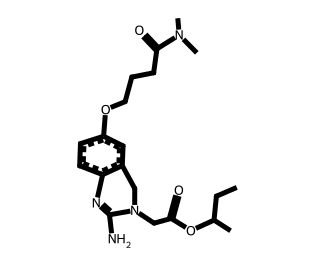 CCC(C)OC(=O)CN1Cc2cc(OCCCC(=O)N(C)C)ccc2N=C1N